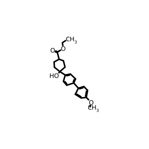 CCOC(=O)C1CCC(O)(c2ccc(-c3ccc(OC)cc3)cc2)CC1